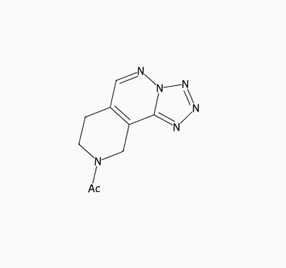 CC(=O)N1CCc2cnn3nnnc3c2C1